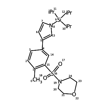 Cc1ccc(-c2ccn([Si](C(C)C)(C(C)C)C(C)C)c2)cc1S(=O)(=O)N1CCOCC1